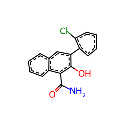 NC(=O)c1c(O)c(-c2ccccc2Cl)cc2ccccc12